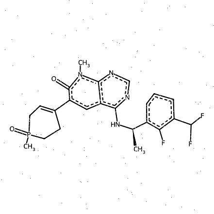 C[C@@H](Nc1ncnc2c1cc(C1=CCP(C)(=O)CC1)c(=O)n2C)c1cccc(C(F)F)c1F